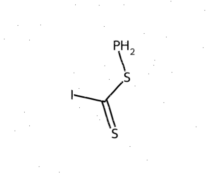 PSC(=S)I